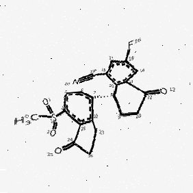 CS(=O)(=O)c1ccc([C@H]2CCC(=O)c3cc(F)cc(C#N)c32)c2c1C(=O)CC2